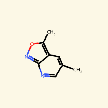 Cc1cnc2noc(C)c2c1